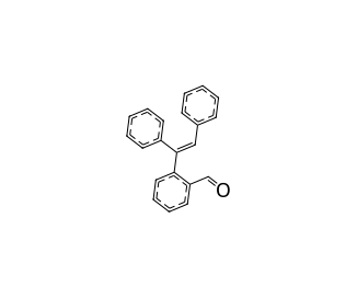 O=Cc1ccccc1C(=Cc1ccccc1)c1ccccc1